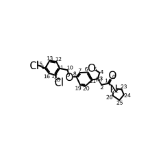 O=C(C[C@@H]1COc2cc(OCc3ccc(Cl)cc3Cl)ccc21)N1CCCC1